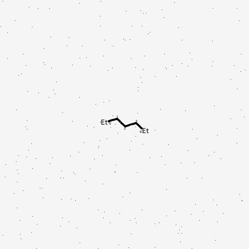 C[CH]CCCCC